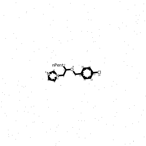 CCCCCC(Cn1ccnc1)OCc1ccc(Cl)cc1